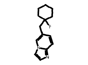 FC1(Cc2ccc3nccn3c2)CCCCC1